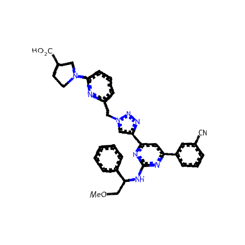 COCC(Nc1nc(-c2cccc(C#N)c2)cc(-c2cn(Cc3cccc(N4CCC(C(=O)O)C4)n3)nn2)n1)c1ccccc1